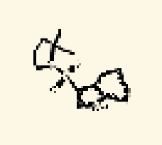 CC1(C)CCCN1S(=O)(=O)c1c[nH]c2ccccc12